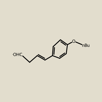 CCCCOc1ccc(C=CC[C]=O)cc1